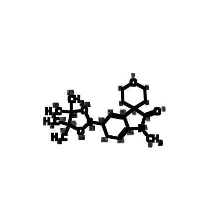 CN1C(=O)C2(CCOCC2)C2=CC(B3OC(C)(C)C(C)(C)O3)CC=C21